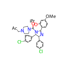 COc1ccc(C2=NC(c3ccc(Cl)cc3)C(c3ccc(Cl)cc3)N2C(=O)N2CCN(CC(C)=O)CC2)c(OC(C)C)c1